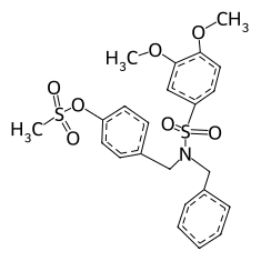 COc1ccc(S(=O)(=O)N(Cc2ccccc2)Cc2ccc(OS(C)(=O)=O)cc2)cc1OC